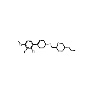 CCCC1CCC(COC2CC=C(c3ccc(OC)c(F)c3Cl)CC2)OC1